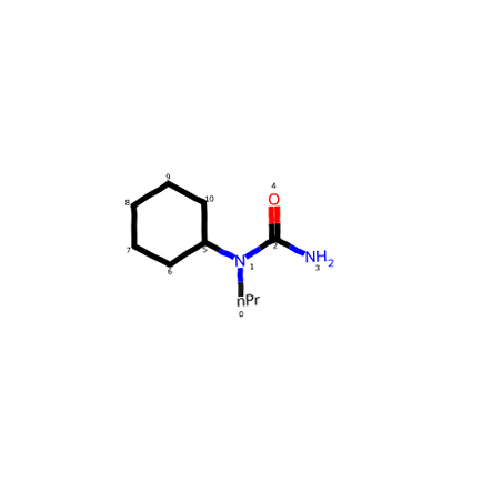 CCCN(C(N)=O)C1CCCCC1